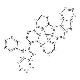 c1ccc(-n2c(-c3cccc4c3-c3ccccc3C43c4ccccc4-c4c3ccc3oc5ccccc5c43)nc3ccccc32)cc1